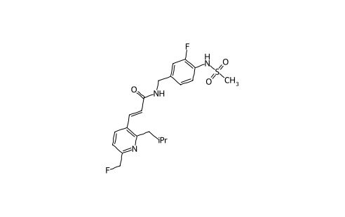 CC(C)Cc1nc(CF)ccc1/C=C/C(=O)NCc1ccc(NS(C)(=O)=O)c(F)c1